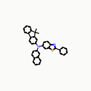 CC1(C)c2ccccc2-c2ccc(N(c3ccc4ccccc4c3)c3ccc4nc(-c5ccccc5)sc4c3)cc21